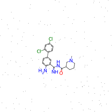 CN1CCCC(C(=O)NC(=N)c2cc(-c3ccc(Cl)cc3Cl)ccc2N)C1